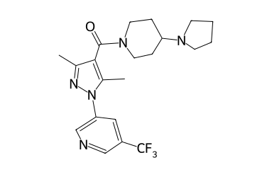 Cc1nn(-c2cncc(C(F)(F)F)c2)c(C)c1C(=O)N1CCC(N2CCCC2)CC1